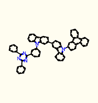 c1ccc(-c2nc(-c3ccccc3)nc(-c3cccc(-n4c5ccccc5c5ccc(-c6ccc7c(c6)c6ccccc6n7-c6ccc7c8ccccc8c8ccccc8c7c6)cc54)c3)n2)cc1